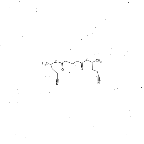 CC(CCC#N)OC(=O)CCCC(=O)OC(C)CCC#N